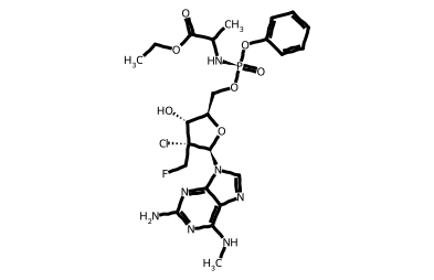 CCOC(=O)C(C)N[P@@](=O)(OC[C@H]1O[C@@H](n2cnc3c(NC)nc(N)nc32)[C@@](Cl)(CF)[C@@H]1O)Oc1ccccc1